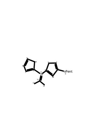 CCCCCC1=CC[C]([Zr]([C]2=CC=CC2)=[C](C)C)=C1